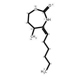 CCCCC/C=C1/NC(=O)OCCC1C